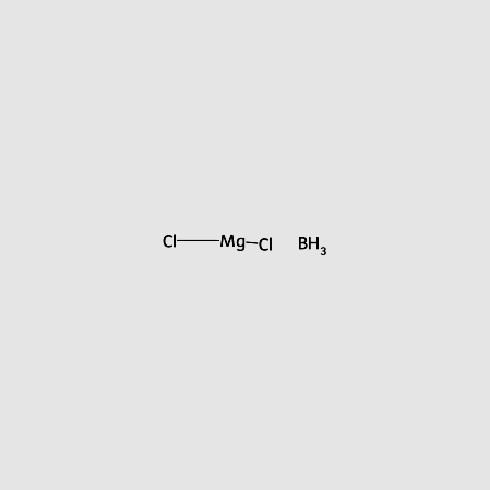 B.[Cl][Mg][Cl]